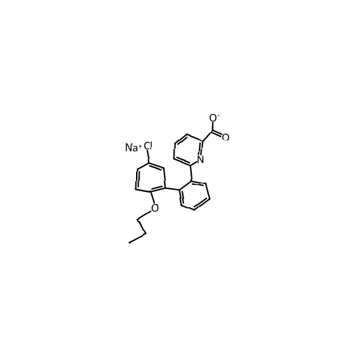 CCCOc1ccc(Cl)cc1-c1ccccc1-c1cccc(C(=O)[O-])n1.[Na+]